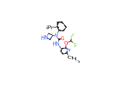 Cc1ccc(NC(=O)N(c2ccccc2C(C)C)C2CNC2)c(OC(F)F)n1